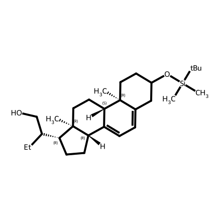 CCC(CO)[C@H]1CC[C@H]2C3=CC=C4CC(O[Si](C)(C)C(C)(C)C)CC[C@]4(C)[C@H]3CC[C@]12C